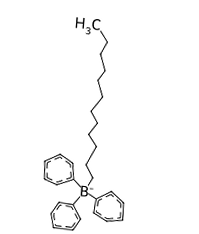 CCCCCCCCCCCC[B-](c1ccccc1)(c1ccccc1)c1ccccc1